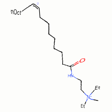 CCCCCCCC/C=C\CCCCCCCC(=O)NCC[N+](C)(CC)CC